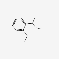 CCc1ccccc1C(C)OS